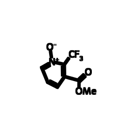 COC(=O)c1ccc[n+]([O-])c1C(F)(F)F